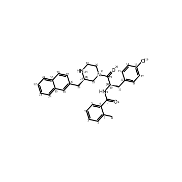 Cc1ccccc1C(=O)N[C@H](Cc1ccc(Cl)cc1)C(=O)N1CCN[C@H](Cc2ccc3ccccc3c2)C1